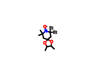 CCC1(CC)CC2(CC(C)(C)N1[O])OC(C)C(C)O2